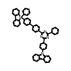 c1ccc(-c2nc(-c3ccc(-c4ccc([Si]5(c6ccccc6)c6ccccc6-c6ccccc65)cc4)cc3)nc(-c3ccc(-n4c5ccccc5c5ccccc54)cc3)n2)cc1